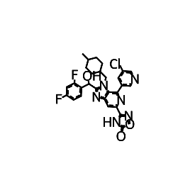 CC1CCC(Cn2c(C(O)c3ccc(F)cc3F)nc3cc(-c4noc(=O)[nH]4)nc(-c4cncc(Cl)c4)c32)CC1